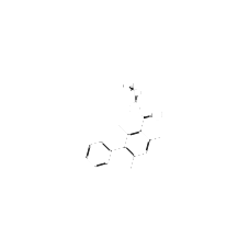 Cc1cc(C)c(-c2ccccc2)c(C)c1C(=O)OP=O